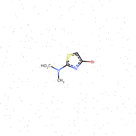 CN(C(=O)O)c1nc(Br)cs1